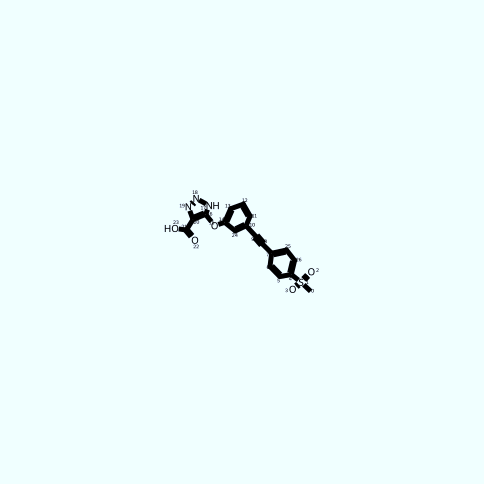 CS(=O)(=O)c1ccc(C#Cc2cccc(Oc3[nH]nnc3C(=O)O)c2)cc1